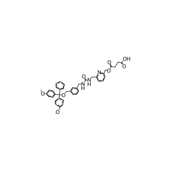 COc1ccc(C(OCc2cccc(CNC(=O)NCc3cccc(COC(=O)CCC(=O)O)n3)c2)(c2ccccc2)c2ccc(OC)cc2)cc1